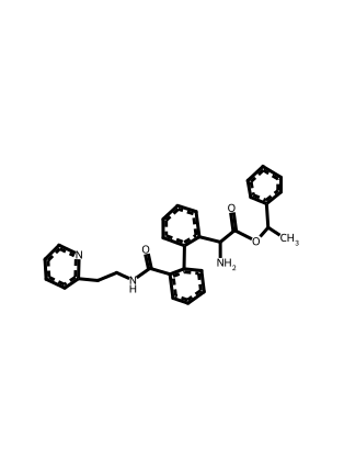 CC(OC(=O)C(N)c1ccccc1-c1ccccc1C(=O)NCCc1ccccn1)c1ccccc1